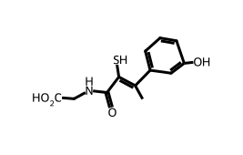 C/C(=C(/S)C(=O)NCC(=O)O)c1cccc(O)c1